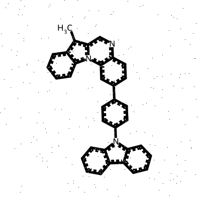 Cc1c2ccccc2n2c1cnc1ccc(-c3ccc(-n4c5ccccc5c5ccccc54)cc3)cc12